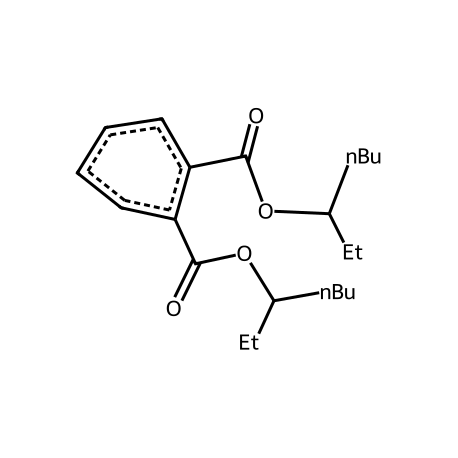 CCCCC(CC)OC(=O)c1ccccc1C(=O)OC(CC)CCCC